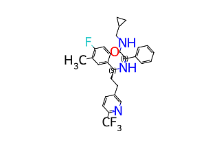 Cc1cc([C@H](CCc2ccc(C(F)(F)F)nc2)N[C@@H](C(=O)NCC2CC2)c2ccccc2)ccc1F